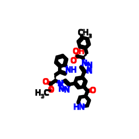 COC(=O)[C@H](Cc1c[nH]c2ccccc12)n1cc(-c2cc(C(=O)C3CCNCC3)cc(-c3cn([C@@H](Cc4ccc(C)cc4)C(=O)O)nn3)c2)nn1